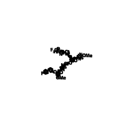 COc1cc(OC[C@@H]2CCCN(c3ccc(F)cc3)C2)c2cc(-c3cn4nc(OCCOc5cc(OCC6CCCN(c7ccc(NC(=O)C(F)(F)F)nc7)C6)c6cc(-c7cn8nc(OC)sc8n7)oc6c5)sc4n3)oc2c1